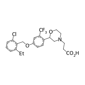 CCc1cccc(Cl)c1COc1ccc(C2CN(CCC(=O)O)CCO2)c(C(F)(F)F)c1